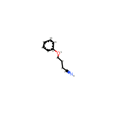 N#CCCCOc1cc[c]cc1